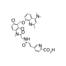 Cc1cc(N(C)C)c2cccc(OCc3c(Cl)ccc(N(C)C(=O)CNC(=O)C=Cc4ccc(C(=O)O)nc4)c3Cl)c2n1